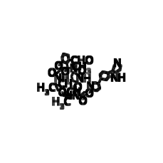 CN(C(=O)c1c(C=O)cccc1OCC(=O)NCC(C)(C)COCC(C)(C)CNC(=O)COc1ccc(-c2ccc3c(c2)[nH]c2ccncc23)cn1)C1CCC(=O)NC1=O